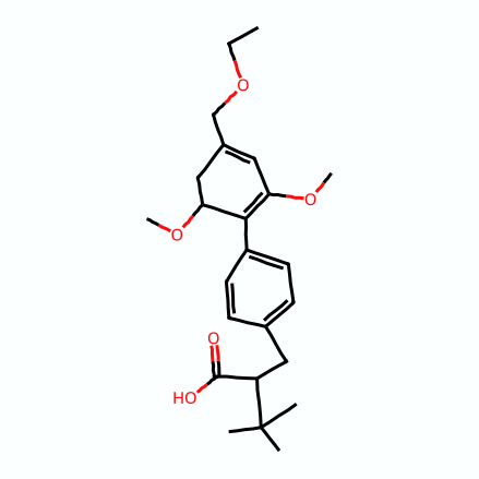 CCOCC1=CC(OC)=C(c2ccc(CC(C(=O)O)C(C)(C)C)cc2)C(OC)C1